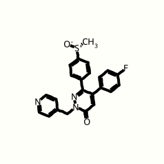 C[S+]([O-])c1ccc(-c2nn(Cc3ccncc3)c(=O)cc2-c2ccc(F)cc2)cc1